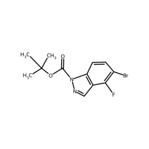 CC(C)(C)OC(=O)n1ncc2c(F)c(Br)ccc21